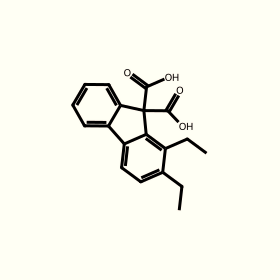 CCc1ccc2c(c1CC)C(C(=O)O)(C(=O)O)c1ccccc1-2